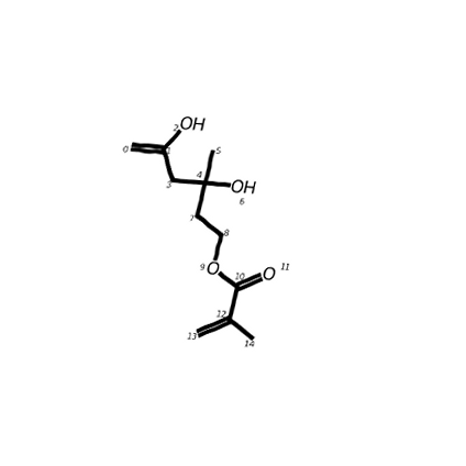 C=C(O)CC(C)(O)CCOC(=O)C(=C)C